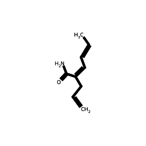 C=CCC(=CC=CC)C(N)=O